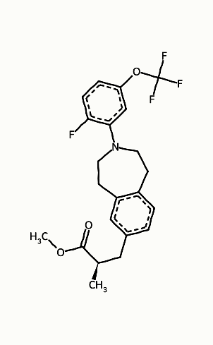 COC(=O)[C@H](C)Cc1ccc2c(c1)CCN(c1cc(OC(F)(F)F)ccc1F)CC2